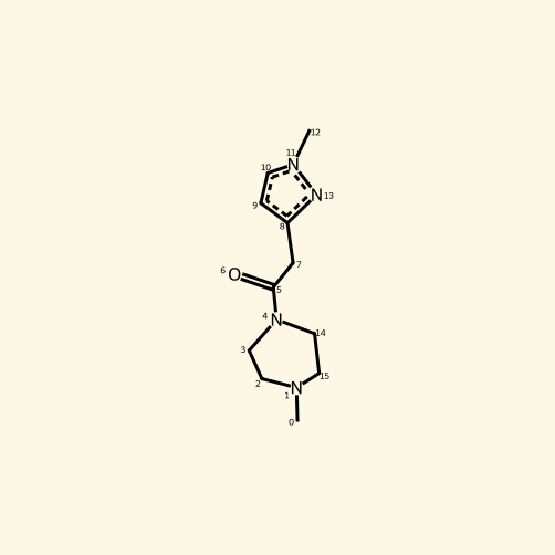 CN1CCN(C(=O)Cc2ccn(C)n2)CC1